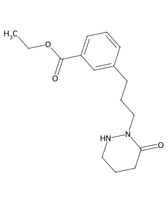 CCOC(=O)c1cccc(CCCN2NCCCC2=O)c1